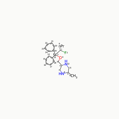 CCCC(F)[Si](OCC1CNC(C)CN1)(c1ccccc1)c1ccccc1